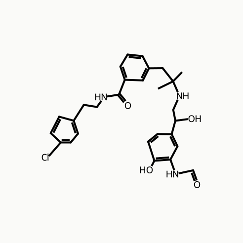 CC(C)(Cc1cccc(C(=O)NCCc2ccc(Cl)cc2)c1)NCC(O)c1ccc(O)c(NC=O)c1